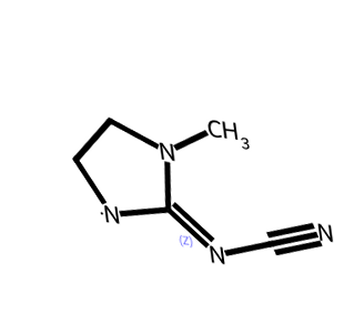 CN1CC[N]/C1=N/C#N